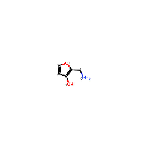 NCc1occc1O